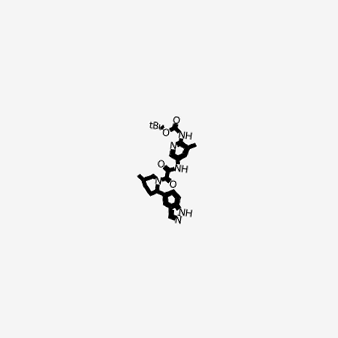 Cc1cc(NC(=O)C(=O)N2CC(C)CCC2c2ccc3[nH]ncc3c2)cnc1NC(=O)OC(C)(C)C